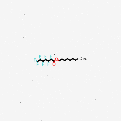 CCCCCCCCCCCCCCCCCOC(=O)C(F)C(F)C(F)C(F)C(F)C(F)F